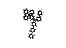 c1ccc(-c2ccc(-c3ccc(N(c4ccc(C5(c6ccccc6)c6ccccc6-c6ccccc65)cc4)c4cccc(-c5ccccc5)c4)cc3)cc2)cc1